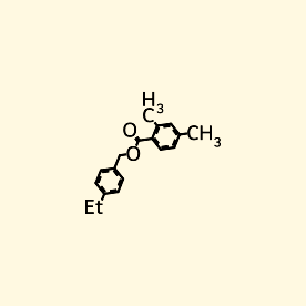 CCc1ccc(COC(=O)c2ccc(C)cc2C)cc1